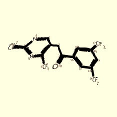 O=C(Cc1cnc(Cl)nc1C(F)(F)F)c1cc(C(F)(F)F)cc(C(F)(F)F)c1